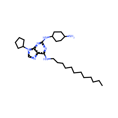 CCCCCCCCCCCCNc1nc(NC2CCC(N)CC2)nc2c1ncn2C1CCCC1